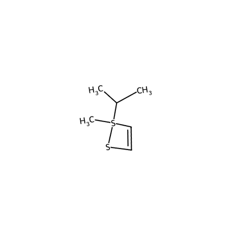 CC(C)S1(C)C=CS1